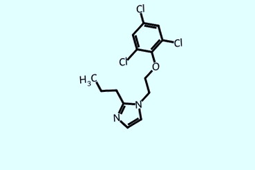 CCCc1nccn1CCOc1c(Cl)cc(Cl)cc1Cl